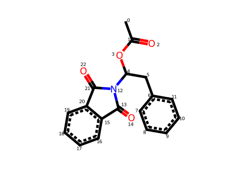 CC(=O)OC(Cc1ccccc1)N1C(=O)c2ccccc2C1=O